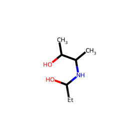 CCC(O)NC(C)C(C)O